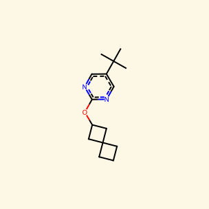 CC(C)(C)c1cnc(OC2CC3(CCC3)C2)nc1